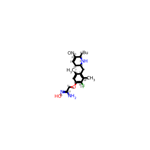 CCC(C)C1NC(Cc2c(C)cc(OC/C(N)=N/O)c(F)c2C)CC=C1N=O